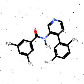 Cc1ccc(C(=O)O)cc1-c1ccncc1N(C)C(=O)c1cc(C(F)(F)F)cc(C(F)(F)F)c1